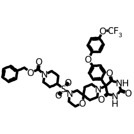 O=C1NC(=O)C(c2ccc(Oc3ccc(OC(F)(F)F)cc3)cc2)(N2CCC3(CC2)CN(S(=O)(=O)C2CCN(C(=O)OCc4ccccc4)CC2)CCO3)C(=O)N1